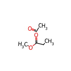 CC=O.CCC(=O)OC